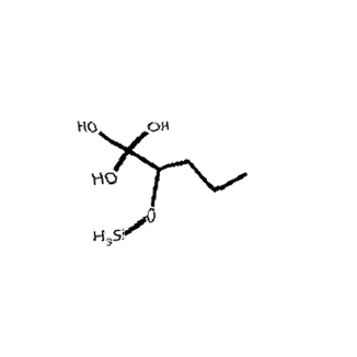 CCCC(O[SiH3])C(O)(O)O